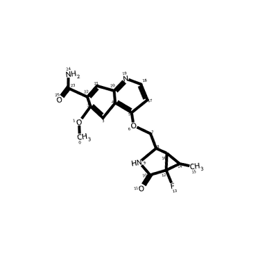 COc1cc2c(OCC3NC(=O)C4(F)C(C)C34)ccnc2cc1C(N)=O